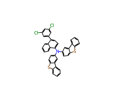 Clc1cc(Cl)cc(-c2ccc(N(c3ccc4sc5ccccc5c4c3)c3ccc4sc5ccccc5c4c3)c3ccccc23)c1